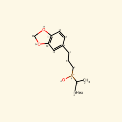 CCCCCCC(C)[S+]([O-])CCCc1ccc2c(c1)OCO2